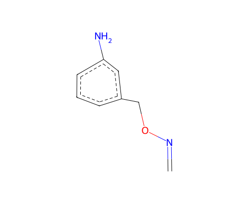 C=NOCc1cccc(N)c1